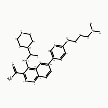 CC(Nc1c(C(N)=O)nnc2ccc(-c3ccc(OCCCN(C)C)nc3)cc12)C1CCOCC1